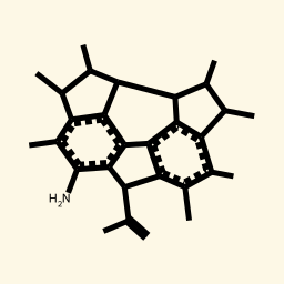 C=C(C)C1c2c(C)c(C)c3c4c2-c2c1c(N)c(C)c1c2C(C(C)C1C)C4C(C)C3C